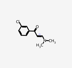 CN(C)/C=C/C(=O)c1cccc(Cl)c1